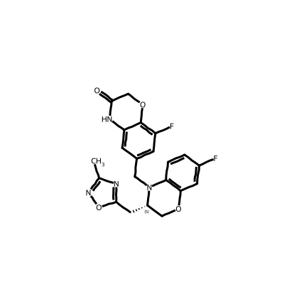 Cc1noc(C[C@H]2COc3cc(F)ccc3N2Cc2cc(F)c3c(c2)NC(=O)CO3)n1